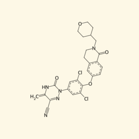 C=C1NC(=O)N(c2cc(Cl)c(Oc3ccc4c(c3)CCN(CC3CCOCC3)C4=O)c(Cl)c2)N=C1C#N